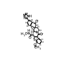 CNC(=O)Nc1sc2c(OC)cccc2c1C(=O)N1CCC2(CC1)CC(=O)c1cc(-c3nnn[nH]3)ccc1O2